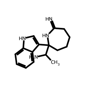 CC(N)C1(c2c[nH]c3ccccc23)CCCCC(=N)N1